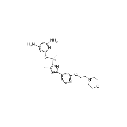 Cc1sc(-c2ccnc(OCCN3CCOCC3)c2)nc1[C@@H](C)Sc1nc(N)cc(N)n1